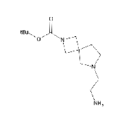 CC(C)(C)OC(=O)N1CC2(CCN(CCN)C2)C1